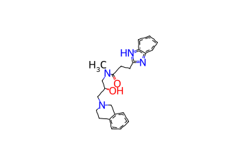 CN(C[C@@H](O)CN1CCc2ccccc2C1)C(=O)CCc1nc2ccccc2[nH]1